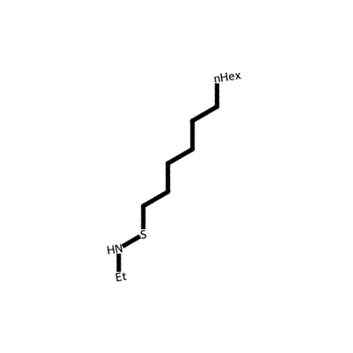 CCCCCCCCCCCCSNCC